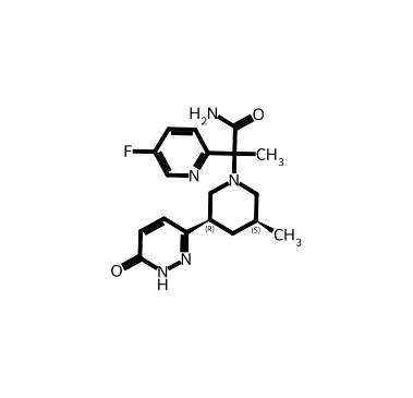 C[C@H]1C[C@@H](c2ccc(=O)[nH]n2)CN(C(C)(C(N)=O)c2ccc(F)cn2)C1